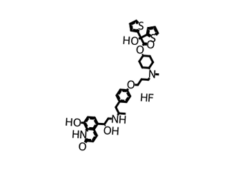 CC(Cc1ccc(OCCCN(C)[C@H]2CC[C@H](OC(=O)C(O)(c3cccs3)c3cccs3)CC2)cc1)NC[C@H](O)c1ccc(O)c2[nH]c(=O)ccc12.F